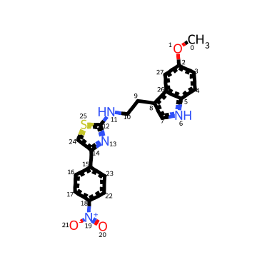 COc1ccc2[nH]cc(CCNc3nc(-c4ccc([N+](=O)[O-])cc4)cs3)c2c1